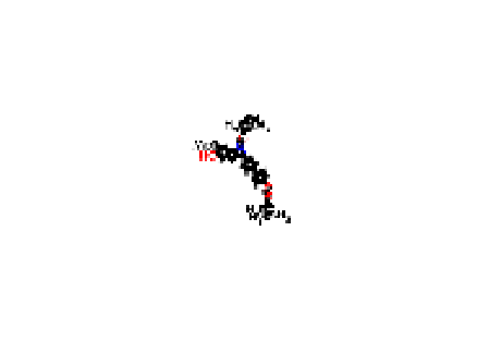 COc1cc2c(cc1O)Cc1c(-c3ccc(-c4ccc(OCOCC[Si](C)(C)C)cc4)cc3)nn(COCC[Si](C)(C)C)c1-2